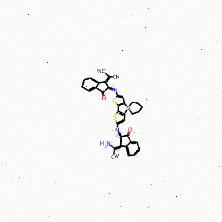 N#CC(C#N)=C1C2=CCCC=C2C(=O)/C1=N\c1cc2c(s1)-c1sc(/N=C3\C(=O)c4ccccc4\C3=C(\N)C#N)cc1[Si]21CCCCC1